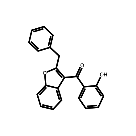 O=C(c1ccccc1O)c1c(Cc2ccccc2)oc2ccccc12